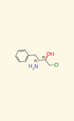 N[C@H](Cc1ccccc1)[C@@H](O)CCl